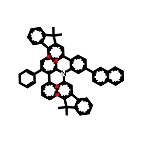 CC1(C)c2ccccc2-c2cc(N(c3cc(-c4ccc5ccccc5c4)ccc3-c3ccc4c(c3)C(C)(C)c3ccccc3-4)c3cccc(C4=CCCC=C4)c3-c3ccccc3)ccc21